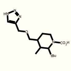 CC1C(COCc2c[nH]nn2)CCN(C(=O)O)C1C(C)(C)C